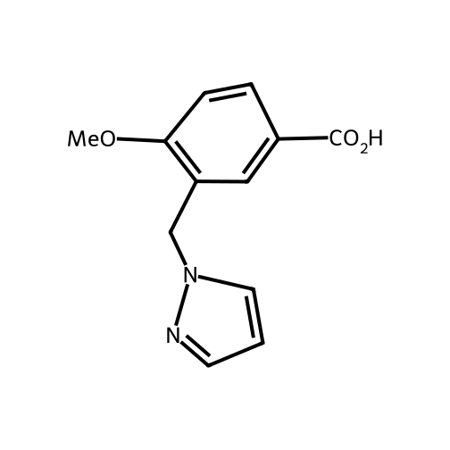 COc1ccc(C(=O)O)cc1Cn1cccn1